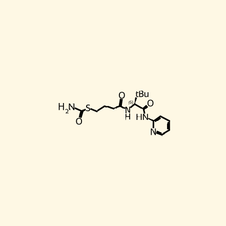 CC(C)(C)[C@H](NC(=O)[CH]CCSC(N)=O)C(=O)Nc1ccccn1